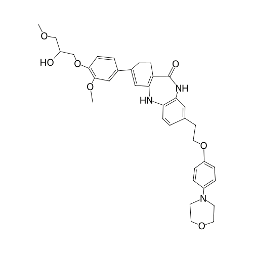 COCC(O)COc1ccc(C2=CC3=C(CC2)C(=O)Nc2cc(CCOc4ccc(N5CCOCC5)cc4)ccc2N3)cc1OC